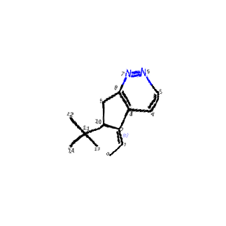 C/C=C1/c2ccnnc2CC1C(C)(C)C